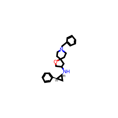 c1ccc(CN2CCC3(CC2)CC(N[C@@H]2C[C@H]2c2ccccc2)CO3)cc1